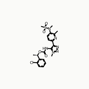 Cc1nc(-c2nnn(C)c2NC(=O)O[C@H](C)c2ccccc2Cl)ccc1N(C)S(C)(=O)=O